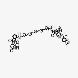 CC(C)(OCCOCCOCCOCCOCCNc1cccc2c1C(=O)N(C1CCC(=O)NC1=O)C2=O)C(F)CNC(=O)c1cnc(Nc2ccc3ncsc3c2)cc1NC1CC1